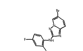 Fc1ccc(Nc2nc3ccc(Br)cn3n2)c(F)c1